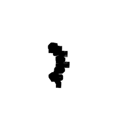 N#Cc1cccn(-c2ccc(N[C@H]3CC[C@H](Nc4nc5cccnc5o4)C3)nc2)c1=O